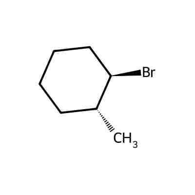 C[C@@H]1CCCC[C@H]1Br